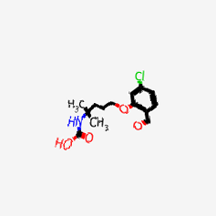 CC(C)(CCCOc1cc(Cl)ccc1C=O)NC(=O)O